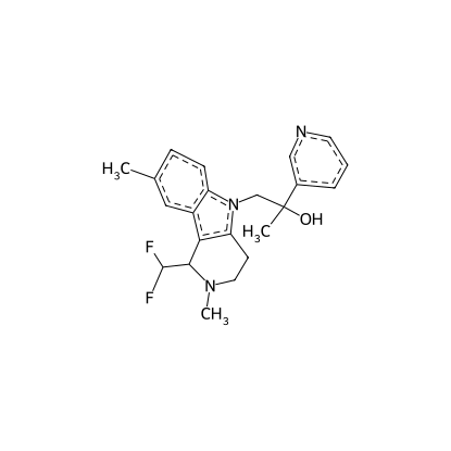 Cc1ccc2c(c1)c1c(n2CC(C)(O)c2cccnc2)CCN(C)C1C(F)F